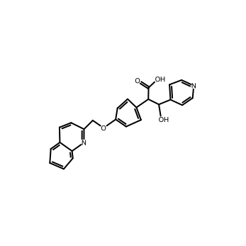 O=C(O)C(c1ccc(OCc2ccc3ccccc3n2)cc1)C(O)c1ccncc1